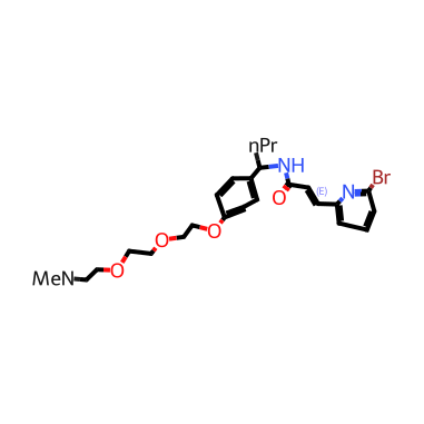 CCCC(NC(=O)/C=C/c1cccc(Br)n1)c1ccc(OCCOCCOCCNC)cc1